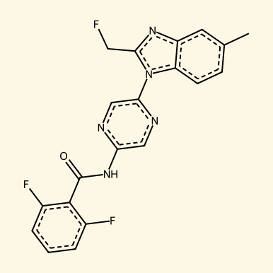 Cc1ccc2c(c1)nc(CF)n2-c1cnc(NC(=O)c2c(F)cccc2F)cn1